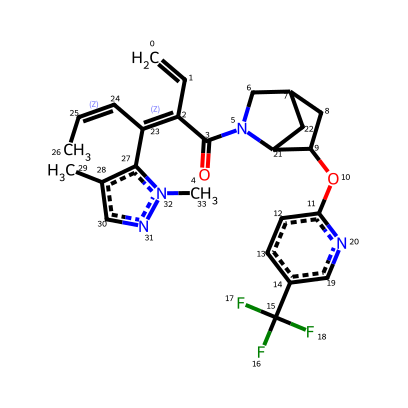 C=C/C(C(=O)N1CC2CC(Oc3ccc(C(F)(F)F)cn3)C1C2)=C(\C=C/C)c1c(C)cnn1C